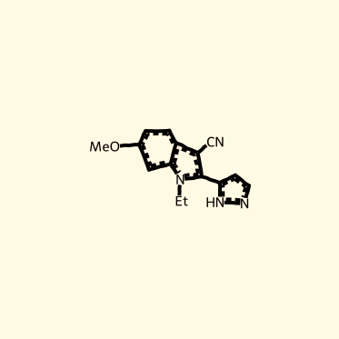 CCn1c(-c2ccn[nH]2)c(C#N)c2ccc(OC)cc21